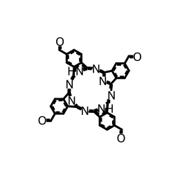 O=Cc1ccc2c(c1)-c1nc-2nc2[nH]c(nc3nc(nc4[nH]c(n1)c1ccc(C=O)cc41)-c1ccc(C=O)cc1-3)c1ccc(C=O)cc21